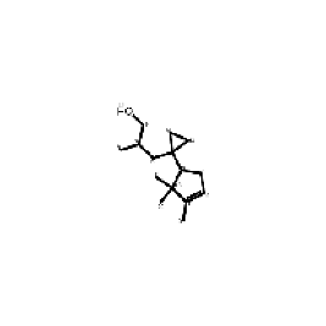 CC1=CCC(C2(CC(C)CO)CC2)C1(C)C